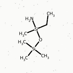 CC[Si](C)(N)O[Si](C)(C)C